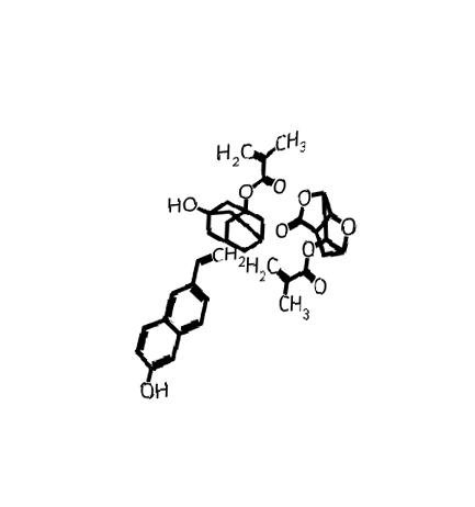 C=C(C)C(=O)OC12CC3CC(CC(O)(C3)C1)C2.C=C(C)C(=O)OC1C2CC3C(=O)OC1C3O2.C=Cc1ccc2cc(O)ccc2c1